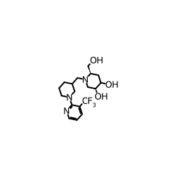 OC[C@H]1CC(O)[C@@H](O)CN1CC1CCCN(c2ncccc2C(F)(F)F)C1